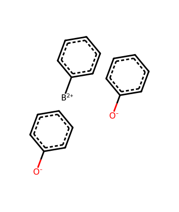 [B+2]c1ccccc1.[O-]c1ccccc1.[O-]c1ccccc1